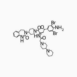 Nc1c(Br)cc(C(=O)C[C@@H](NC(=O)CN2CCC(N3CCCCC3)CC2)C(=O)N2CCC(N3CCc4ccccc4NC3=O)CC2)cc1Br